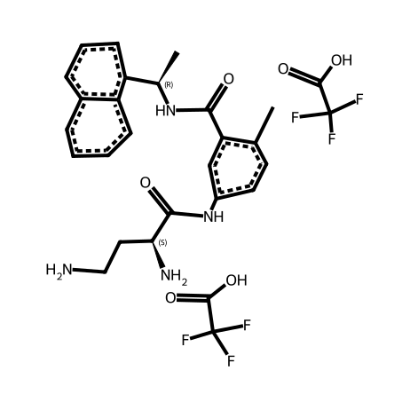 Cc1ccc(NC(=O)[C@@H](N)CCN)cc1C(=O)N[C@H](C)c1cccc2ccccc12.O=C(O)C(F)(F)F.O=C(O)C(F)(F)F